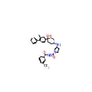 Cc1cc(C2(O)CCC(N[C@H]3CCN(C(=O)CNC(=O)c4cccc(C(F)(F)F)c4)C3)CC2)ccc1-c1ccccc1